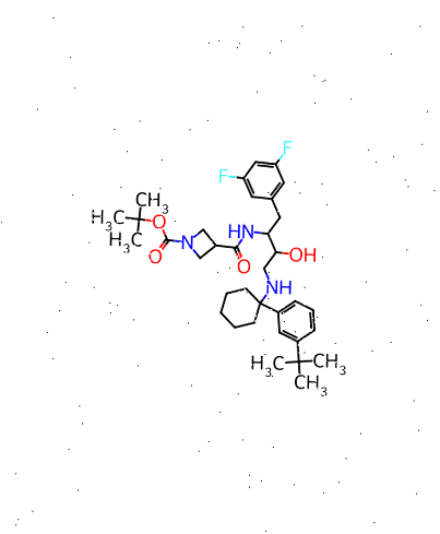 CC(C)(C)OC(=O)N1CC(C(=O)NC(Cc2cc(F)cc(F)c2)C(O)CNC2(c3cccc(C(C)(C)C)c3)CCCCC2)C1